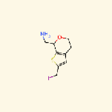 NCC1OCCc2cc(CI)sc21